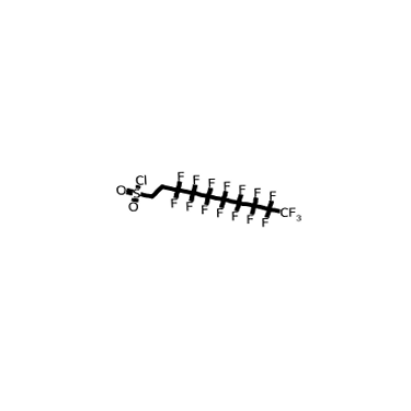 O=S(=O)(Cl)CCC(F)(F)C(F)(F)C(F)(F)C(F)(F)C(F)(F)C(F)(F)C(F)(F)C(F)(F)F